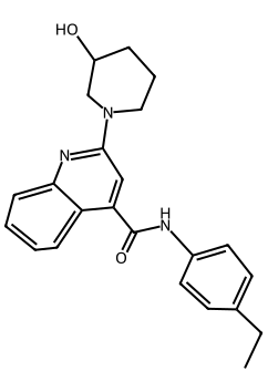 CCc1ccc(NC(=O)c2cc(N3CCCC(O)C3)nc3ccccc23)cc1